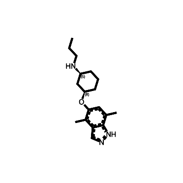 CCCN[C@H]1CCC[C@@H](Oc2cc(C)c3[nH]ncc3c2C)C1